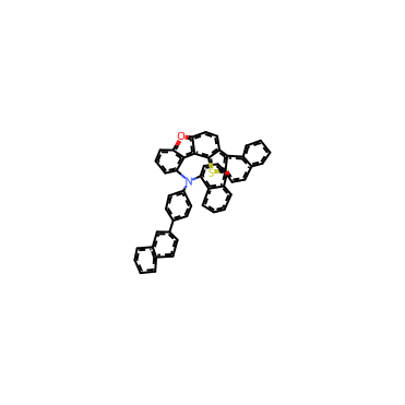 c1ccc2cc(-c3ccc(N(c4cccc5ccccc45)c4cccc5oc6ccc7c(sc8ccc9ccccc9c87)c6c45)cc3)ccc2c1